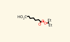 CCC(CC)OOC(=O)CCCCCC(=O)O